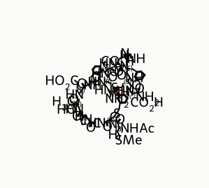 CSCC[C@H](NC(C)=O)C(=O)N[C@H]1CSCc2cccc(c2)CSC[C@@H](C(=O)N[C@@H](CC(=O)O)C(=O)N[C@@H](Cc2c[nH]cn2)C(=O)N[C@@H](Cc2ccccc2)C(=O)N[C@@H](CCCNC(=N)N)C(=O)N[C@@H](CC(=O)O)C(N)=O)NC(=O)[C@H](Cc2ccccc2)NC(=O)[C@H](CCC(=O)O)NC(=O)[C@H]([C@@H](C)O)NC(=O)[C@@H]2CCCN2C(=O)CNC1=O